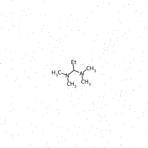 CC[CH](N(C)C)[Al]([CH3])[CH3]